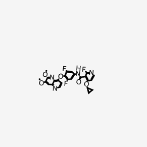 COc1cc2nccc(Oc3c(F)cc(NC(=O)c4c(OC5CC5)ccnc4F)cc3F)c2nc1OC